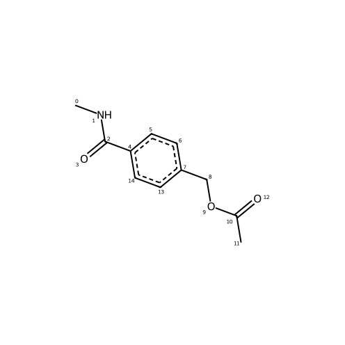 CNC(=O)c1ccc(COC(C)=O)cc1